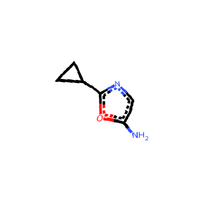 Nc1cnc(C2CC2)o1